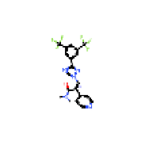 CN(C)C(=O)/C(=C\n1cnc(-c2cc(C(F)(F)F)cc(C(F)(F)F)c2)n1)c1ccncc1